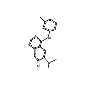 Cc1cccc(Nc2ncnc3cc(Cl)c(N(C)C)cc23)c1